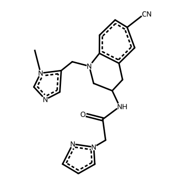 Cn1cncc1CN1CC(NC(=O)Cn2cccn2)Cc2cc(C#N)ccc21